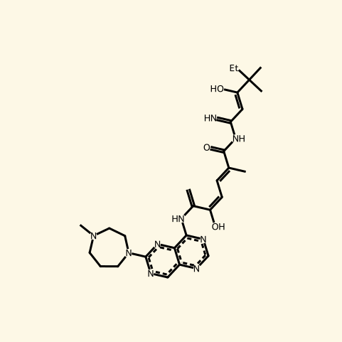 C=C(Nc1ncnc2cnc(N3CCCN(C)CC3)nc12)/C(O)=C\C=C(/C)C(=O)NC(=N)/C=C(\O)C(C)(C)CC